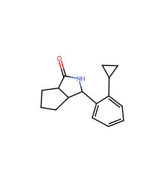 O=C1NC(c2ccccc2C2CC2)C2CCCC12